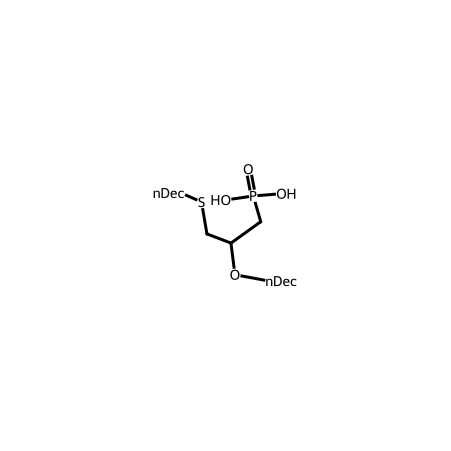 CCCCCCCCCCOC(CSCCCCCCCCCC)CP(=O)(O)O